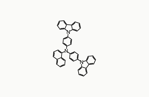 c1ccc2c(N(c3ccc(-n4c5ccccc5c5ccccc54)cc3)c3ccc(-n4c5ccccc5c5ccccc54)cc3)cccc2c1